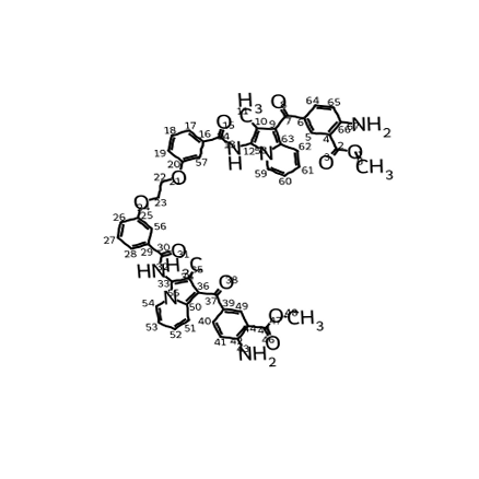 COC(=O)c1cc(C(=O)c2c(C)c(NC(=O)c3cccc(OCCOc4cccc(C(=O)Nc5c(C)c(C(=O)c6ccc(N)c(C(=O)OC)c6)c6ccccn56)c4)c3)n3ccccc23)ccc1N